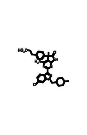 CC1CCC(Cn2nc(-c3nc(N)c4c(n3)NC(=O)C4(C)c3ccc(CCC(=O)O)cc3)c3ccc(Cl)cc32)CC1